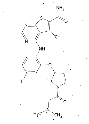 Cc1c(C(N)=O)sc2ncnc(Nc3ccc(F)cc3OC3CCN(C(=O)CN(C)C)C3)c12